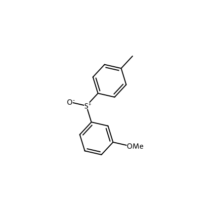 COc1cccc([S+]([O-])c2ccc(C)cc2)c1